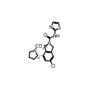 O=C(Nc1nccs1)N1Cc2cc(Cl)cc([C@@H]3CCCN3C(=O)O)c2C1